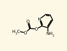 COC(=O)Oc1ncccc1N